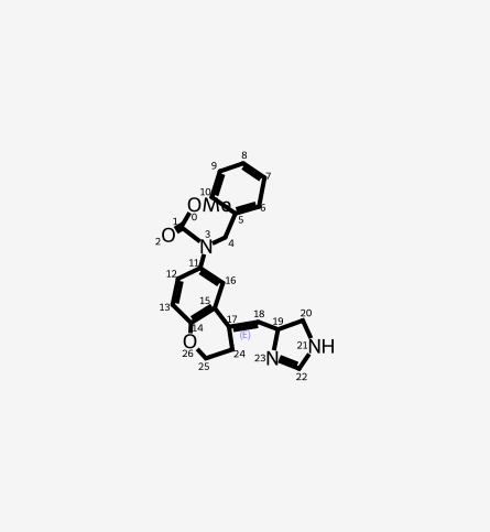 COC(=O)N(Cc1ccccc1)c1ccc2c(c1)/C(=C/C1CNC=N1)CCO2